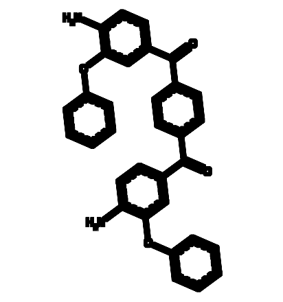 Nc1ccc(C(=O)c2ccc(C(=O)c3ccc(N)c(Oc4ccccc4)c3)cc2)cc1Oc1ccccc1